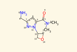 CN(C)C(=O)c1cc(CN)nn1C1COC1